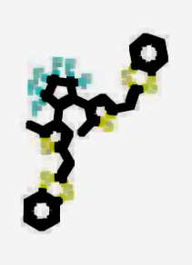 Cc1sc(C=C2Sc3ccccc3S2)cc1C1=C(c2cc(C=C3Sc4ccccc4S3)sc2C)C(F)(F)C(F)(F)C1(F)F